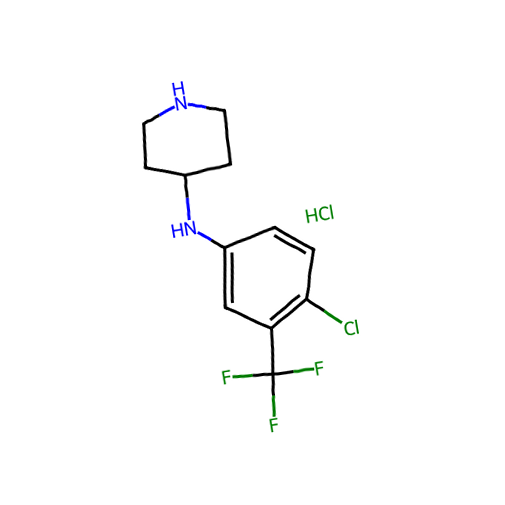 Cl.FC(F)(F)c1cc(NC2CCNCC2)ccc1Cl